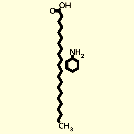 CCCCCCCCCCCCCCCCCCCCCC(=O)O.NC1CCCCC1